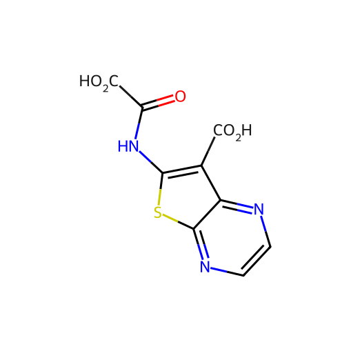 O=C(O)C(=O)Nc1sc2nccnc2c1C(=O)O